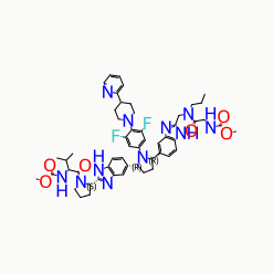 CCCN(Cc1nc2cc([C@H]3CC[C@H](c4ccc5[nH]c([C@@H]6CCCN6C(=O)C(NC(=O)OC)C(C)C)nc5c4)N3c3cc(F)c(N4CCC(c5ccccn5)CC4)c(F)c3)ccc2[nH]1)C(=O)CNC(=O)OC